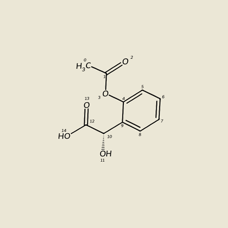 CC(=O)Oc1ccccc1[C@H](O)C(=O)O